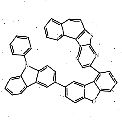 c1ccc(-n2c3ccccc3c3cc(-c4ccc5oc6cccc(-c7cnc8c(n7)sc7ccc9ccccc9c78)c6c5c4)ccc32)cc1